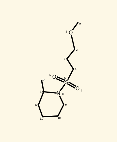 COCCCS(=O)(=O)N1CCCCC1C